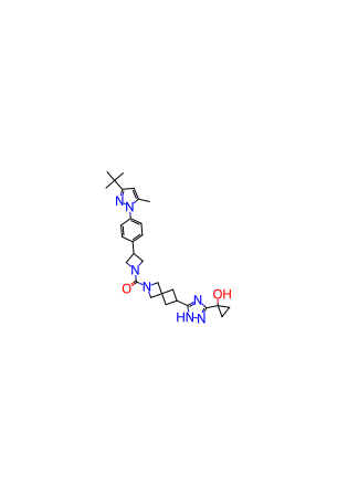 Cc1cc(C(C)(C)C)nn1-c1ccc(C2CN(C(=O)N3CC4(CC(c5nc(C6(O)CC6)n[nH]5)C4)C3)C2)cc1